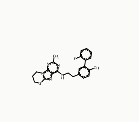 Cc1nc(NCCc2ccc(O)c(-c3ccccc3F)c2)c2nc3n(c2n1)CCCS3